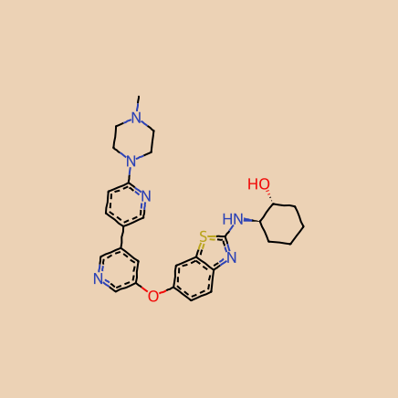 CN1CCN(c2ccc(-c3cncc(Oc4ccc5nc(N[C@@H]6CCCC[C@H]6O)sc5c4)c3)cn2)CC1